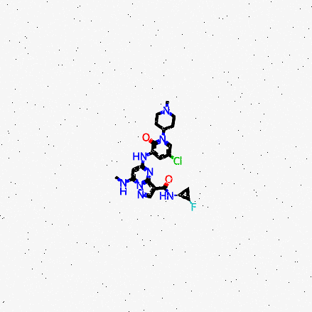 CNc1cc(Nc2cc(Cl)cn(C3CCN(C)CC3)c2=O)nc2c(C(=O)N[C@@H]3C[C@@H]3F)cnn12